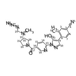 Cc1cc(C#N)ccc1-c1cnn(-c2ccc(C(=O)N3CC[C@H](N(C)CN=[N+]=[N-])C3)cn2)c1O